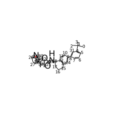 CC(C)(C)c1cccc(-c2ccc3c(c2)CCCC3NC(=O)O[C@@H]2CN3CCC2CC3)c1